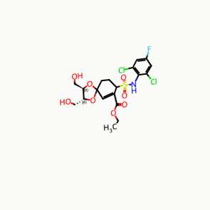 CCOC(=O)C1=CC2(CCC1S(=O)(=O)Nc1c(Cl)cc(F)cc1Cl)O[C@H](CO)[C@@H](CO)O2